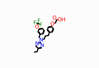 CCc1cnc(N(CCCc2ccc(OCC(=O)O)cc2)Cc2cccc(OC(F)(F)F)c2)nc1